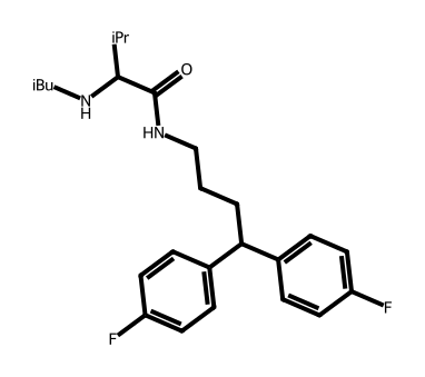 CCC(C)NC(C(=O)NCCCC(c1ccc(F)cc1)c1ccc(F)cc1)C(C)C